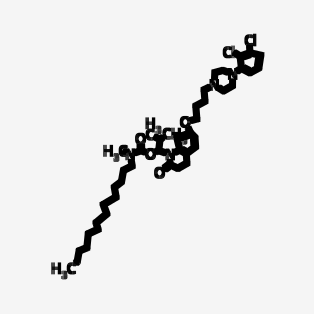 CCCCCCCCCCCCCCN(C)C(=O)OC(C(C)C)N1C(=O)CCc2ccc(OCCCCN3CCN(c4cccc(Cl)c4Cl)CC3)cc21